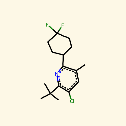 Cc1cc(Cl)c(C(C)(C)C)nc1C1CCC(F)(F)CC1